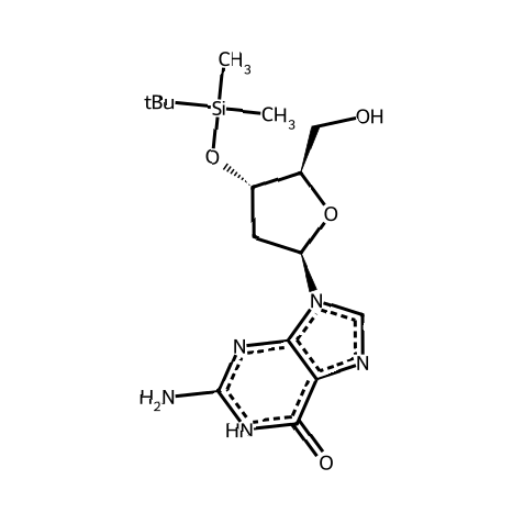 CC(C)(C)[Si](C)(C)O[C@H]1C[C@H](n2cnc3c(=O)[nH]c(N)nc32)O[C@@H]1CO